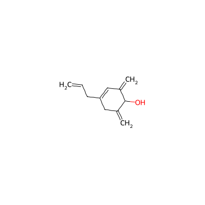 C=CCC1=CC(=C)C(O)C(=C)C1